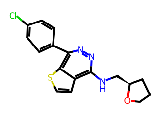 Clc1ccc(-c2nnc(NC[C@H]3CCCO3)c3ccsc23)cc1